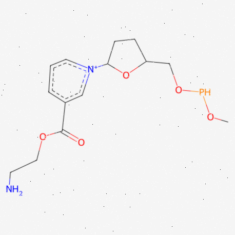 COPOCC1CCC([n+]2cccc(C(=O)OCCN)c2)O1